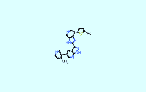 CC(=O)c1ccc(-c2cncc3[nH]c(-c4n[nH]c5ncc(-c6cnccc6C)cc45)nc23)s1